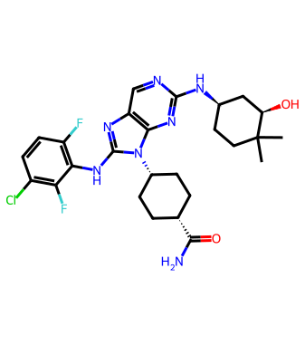 CC1(C)CC[C@@H](Nc2ncc3nc(Nc4c(F)ccc(Cl)c4F)n([C@H]4CC[C@@H](C(N)=O)CC4)c3n2)C[C@H]1O